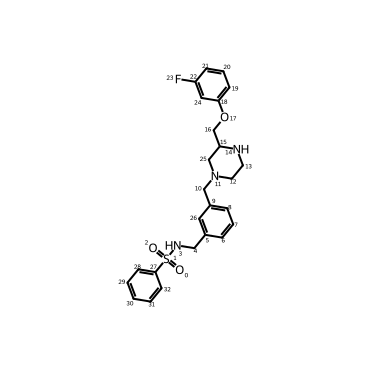 O=S(=O)(NCc1cccc(CN2CCNC(COc3cccc(F)c3)C2)c1)c1ccccc1